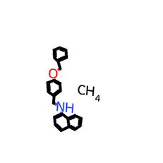 C.c1ccc(COc2ccc(CNc3cccc4ccccc34)cc2)cc1